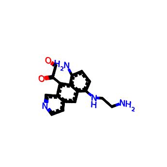 NCCNc1ccc(N)c2c(C(=O)C=O)c3cnccc3cc12